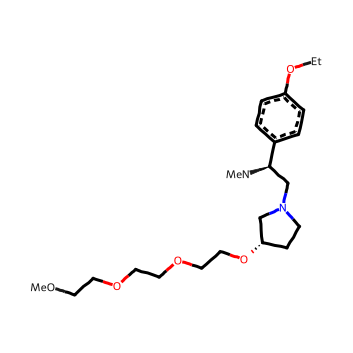 CCOc1ccc([C@@H](CN2CC[C@H](OCCOCCOCCOC)C2)NC)cc1